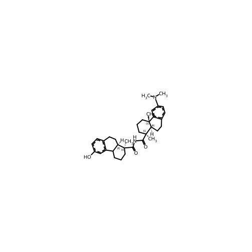 CN(C)c1ccc2c(c1)[C@@]1(C)CCC[C@](C)(C(=O)NC(=O)[C@@]3(C)CCCC4c5cc(O)ccc5CC[C@H]43)[C@@H]1CC2